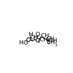 C=C1CC[C@H](O)C/C1=C/C=C1CCC[C@@]2(C)C1CC[C@@H]2[C@H](C)CCCC(C)(C)O.O